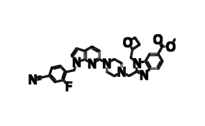 COC(=O)c1ccc2nc(CN3CCN(c4ccc5ccn(Cc6ccc(C#N)cc6F)c5n4)CC3)n(CC3CCO3)c2c1